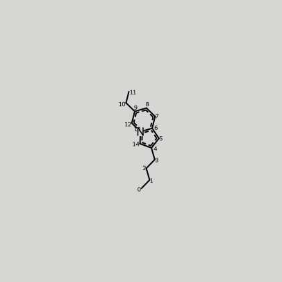 CCCCc1cc2ccc(CC)cn2c1